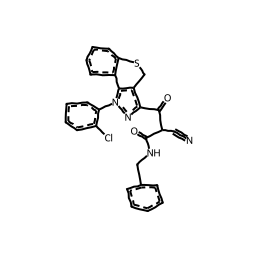 N#CC(C(=O)NCc1ccccc1)C(=O)c1nn(-c2ccccc2Cl)c2c1CSc1ccccc1-2